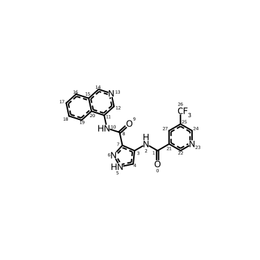 O=C(Nc1c[nH]nc1C(=O)Nc1cncc2ccccc12)c1cncc(C(F)(F)F)c1